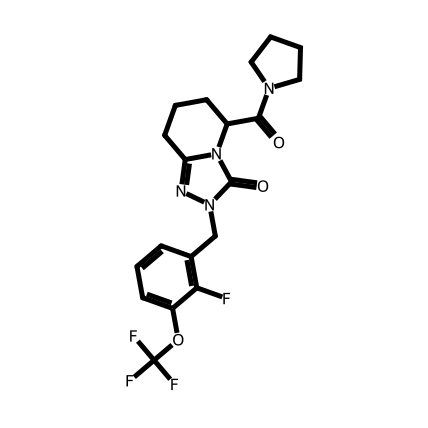 O=C(C1CCCc2nn(Cc3cccc(OC(F)(F)F)c3F)c(=O)n21)N1CCCC1